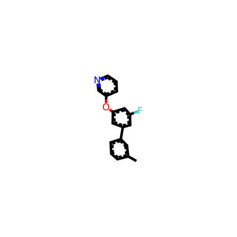 Cc1cccc(-c2cc(F)cc(Oc3cccnc3)c2)c1